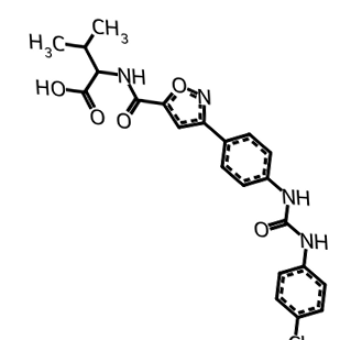 CC(C)C(NC(=O)c1cc(-c2ccc(NC(=O)Nc3ccc(Cl)cc3)cc2)no1)C(=O)O